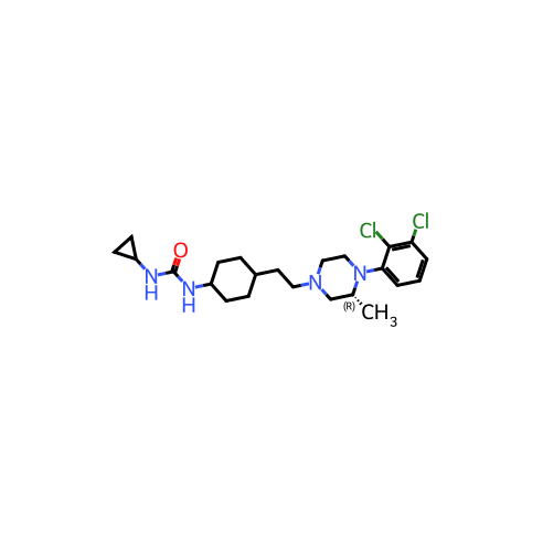 C[C@@H]1CN(CCC2CCC(NC(=O)NC3CC3)CC2)CCN1c1cccc(Cl)c1Cl